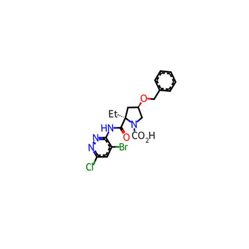 CC[C@]1(C(=O)Nc2nnc(Cl)cc2Br)C[C@@H](OCc2ccccc2)CN1C(=O)O